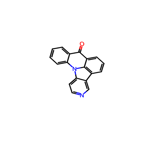 O=c1c2ccccc2n2c3ccncc3c3cccc1c32